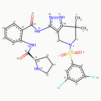 CC1(C)CN(S(=O)(=O)c2cc(F)cc(F)c2)Cc2c(NC(=O)c3ccccc3NC(=O)[C@H]3CCCN3)n[nH]c21